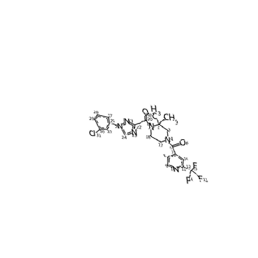 CC1(C)CN(C(=O)c2ccnc(C(F)(F)F)c2)CCN1C(=O)c1ncn(-c2cccc(Cl)c2)n1